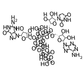 Nc1nc2c(ncn2[C@@H]2O[C@H](COP(=O)(OP(=O)(O)OP(=O)(O)OP(=O)(O)OP(=O)(O)O)OP(=O)(OP(=O)(O)O)OP(=O)(OC[C@H]3O[C@@H](n4ccc(=O)[nH]c4=O)[C@H](O)[C@@H]3O)OC[C@H]3O[C@@H](n4cnc5c(N)ncnc54)[C@H](O)[C@@H]3O)[C@@H](O)[C@H]2O)c(=O)[nH]1